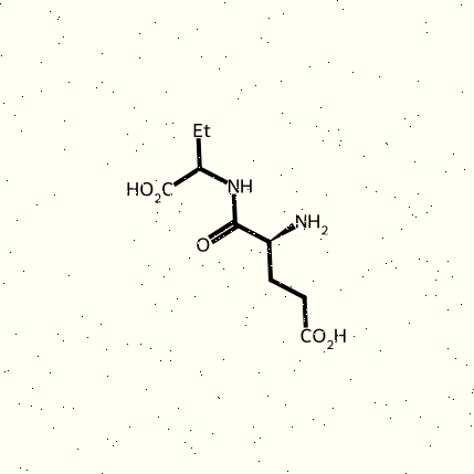 CCC(NC(=O)[C@@H](N)CCC(=O)O)C(=O)O